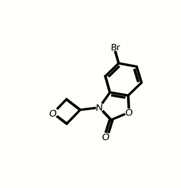 O=c1oc2ccc(Br)cc2n1C1COC1